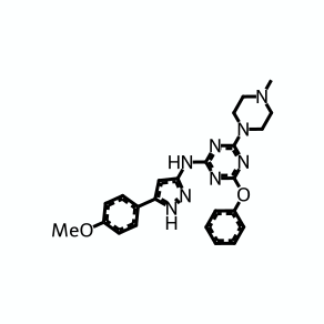 COc1ccc(-c2cc(Nc3nc(Oc4ccccc4)nc(N4CCN(C)CC4)n3)n[nH]2)cc1